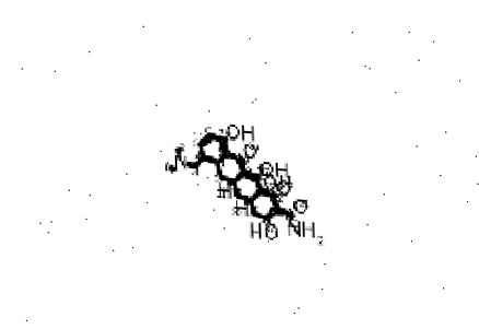 CN(C)Cc1ccc(O)c2c1C[C@H]1C[C@H]3CC(O)=C(C(N)=O)C(=O)[C@@]3(O)C(O)=C1C2=O